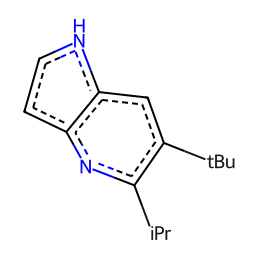 CC(C)c1nc2cc[nH]c2cc1C(C)(C)C